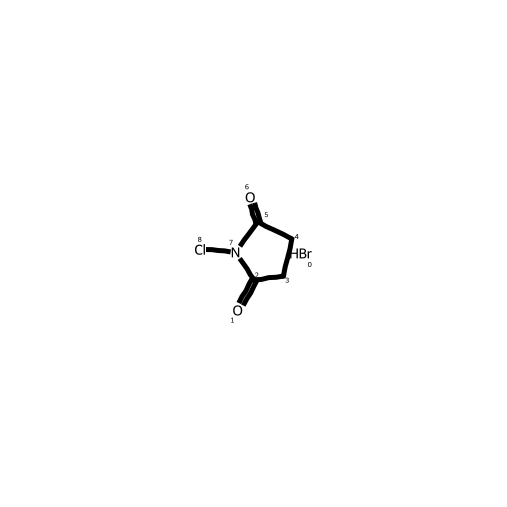 Br.O=C1CCC(=O)N1Cl